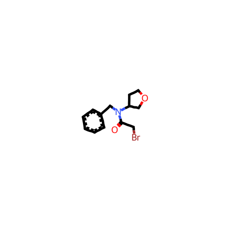 O=C(CBr)N(Cc1ccccc1)C1CCOC1